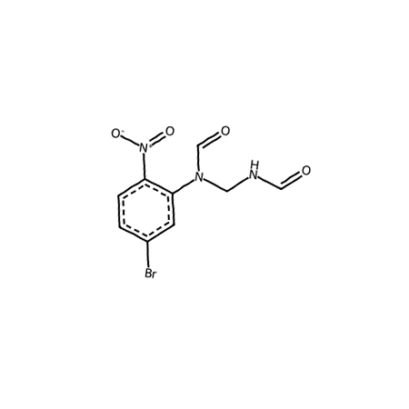 O=CNCN(C=O)c1cc(Br)ccc1[N+](=O)[O-]